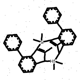 CC1=C2c3c(-c4ccccc4)cccc3[CH]1[Hf]([CH3])([CH3])[CH]1C(C)=C(c3c(-c4ccccc4)cccc31)[Si]2(C)C